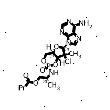 CC(C)C(=O)OC[C@@H](C)NP1(=O)OC[C@H]2O[C@@H](n3cnc4c(N)ncnc43)[C@](C)(Cl)[C@@H]2O1